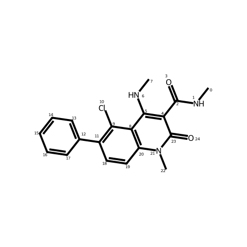 CNC(=O)c1c(NC)c2c(Cl)c(-c3ccccc3)ccc2n(C)c1=O